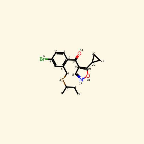 CCC(C)SCc1cc(Br)ccc1C(=O)c1cnoc1C1CC1